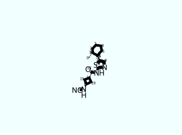 C[C@@H]1CCCC[C@H]1c1cnc(NC(=O)[C@H]2C[C@H](NC#N)C2)s1